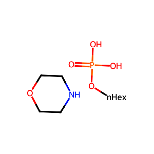 C1COCCN1.CCCCCCOP(=O)(O)O